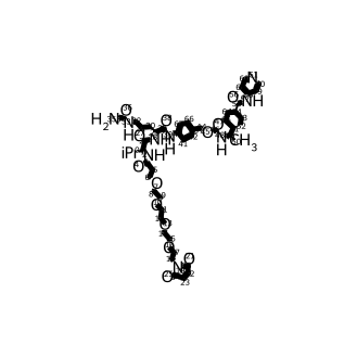 CC(C)[C@H](NC(=O)CCOCCOCCOCCOCCN1C(=O)C=CC1=O)C(=O)N[C@@H](CCCNC(N)=O)C(=O)Nc1ccc(COC(=O)N[C@H](C)[C@H]2CC[C@H](C(=O)Nc3ccncc3)CC2)cc1